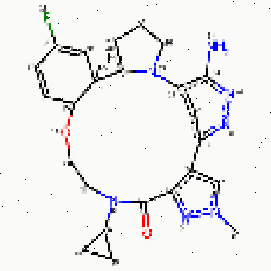 Cn1cc2c(n1)C(=O)N(C1CC1)CCOC1C=CC(F)=CC1(C)[C@H]1CCCN1c1cc-2nnc1N